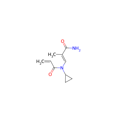 C=CC(=O)N(C=C(C)C(N)=O)C1CC1